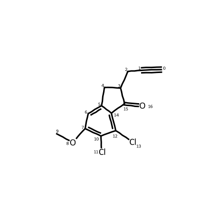 C#CCC1Cc2cc(OC)c(Cl)c(Cl)c2C1=O